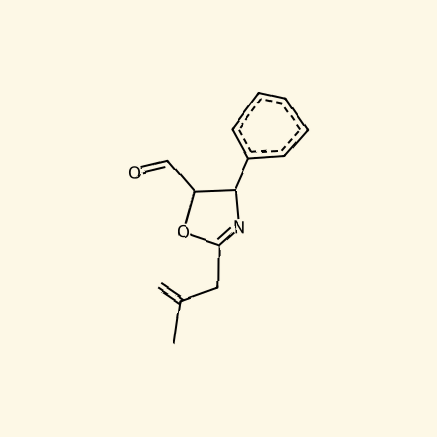 C=C(C)CC1=NC(c2ccccc2)C(C=O)O1